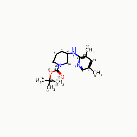 Cc1cnc(N[C@@H]2CCCN(C(=O)OC(C)(C)C)C2)c(C)c1